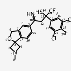 CN1CC2(C1)OCc1cc(C(=N)CC(S)(c3cc(Cl)c(F)c(Cl)c3)C(F)(F)F)ccc12